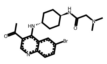 CC(=O)c1cnc2ccc(Br)cc2c1N[C@H]1CC[C@H](NC(=O)CN(C)C)CC1